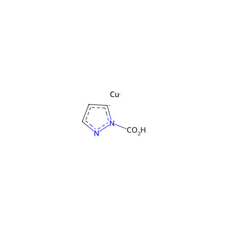 O=C(O)n1[c]ccn1.[Cu]